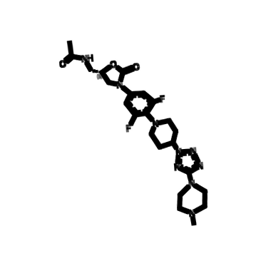 CC(=O)NC[C@H]1CN(c2cc(F)c(N3CCC(n4nnc(N5CCN(C)CC5)n4)CC3)c(F)c2)C(=O)O1